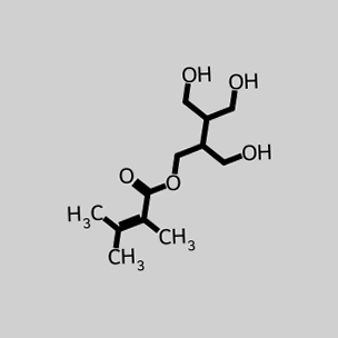 CC(C)=C(C)C(=O)OCC(CO)C(CO)CO